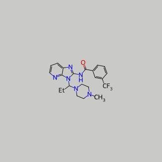 CCC(N1CCN(C)CC1)n1c(NC(=O)c2cccc(C(F)(F)F)c2)nc2cccnc21